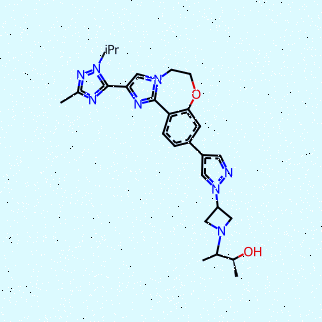 Cc1nc(-c2cn3c(n2)-c2ccc(-c4cnn(C5CN(C(C)[C@H](C)O)C5)c4)cc2OCC3)n(C(C)C)n1